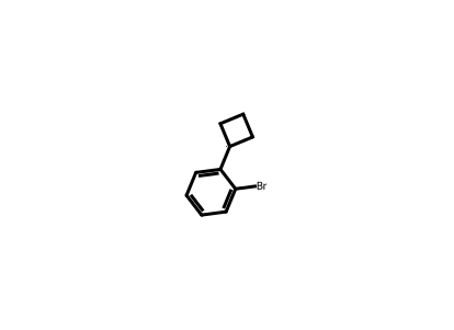 Brc1ccccc1[C]1CCC1